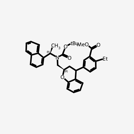 CCc1ccc(C2C[C@H](CN(C(=O)OC(C)(C)C)[C@H](C)c3cccc4ccccc34)Oc3ccccc32)cc1C(=O)OC